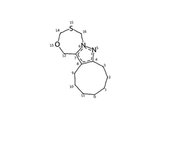 C1CCCc2nn3c(c2CCC1)COCSC3